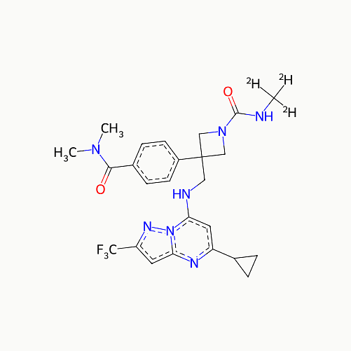 [2H]C([2H])([2H])NC(=O)N1CC(CNc2cc(C3CC3)nc3cc(C(F)(F)F)nn23)(c2ccc(C(=O)N(C)C)cc2)C1